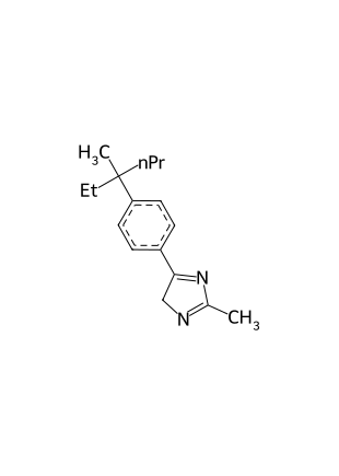 CCCC(C)(CC)c1ccc(C2=NC(C)=NC2)cc1